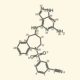 N#Cc1cccc(S(=O)(=O)N2CCC(Nc3nc(N)nc4[nH]ncc34)Cc3ccccc32)c1